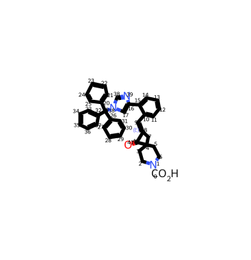 O=C(O)N1CCC2(CC1)C/C(=C\c1ccccc1-c1cn(C(c3ccccc3)(c3ccccc3)c3ccccc3)cn1)C2=O